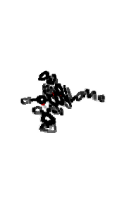 COCCNC(=O)c1ccc(N2CCN(C3CCCCC3)CC2)c(NC(=O)c2[nH]c3cc(Cl)ccc3c2-c2c(-c3ccccc3)ncn2[C@@H](C)c2ccc(Cl)cc2Cl)c1